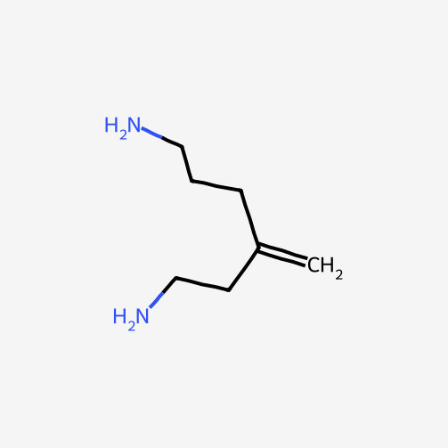 C=C(CCN)CCCN